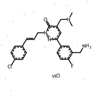 CN(C)Cc1cc(-c2ccc(F)c(CN)c2)nn(C/C=C/c2ccc(Cl)cc2)c1=O.Cl